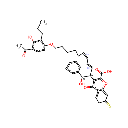 CCCc1c(OCCCCC/C=C\C=C\[C@@H](c2c(C(=O)O)oc3c(c2=O)=CCC(=S)C=3)[C@@H](O)c2ccccc2)ccc(C(C)=O)c1O